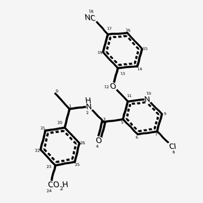 CC(NC(=O)c1cc(Cl)cnc1Oc1cccc(C#N)c1)c1ccc(C(=O)O)cc1